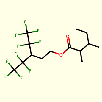 CCC(C)C(C)C(=O)OCCC(C(F)(F)C(F)(F)F)C(F)(F)C(F)(F)F